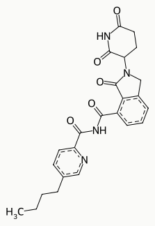 CCCCc1ccc(C(=O)NC(=O)c2cccc3c2C(=O)N(C2CCC(=O)NC2=O)C3)nc1